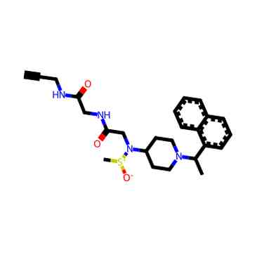 C#CCNC(=O)CNC(=O)CN(C1CCN(C(C)c2cccc3ccccc23)CC1)[S+](C)[O-]